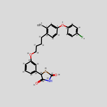 CCCc1cc(Oc2ccc(F)cc2)ccc1CCCCOc1cccc(C2SC(=O)NC2=O)c1